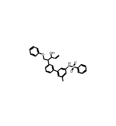 C=CC(O)C(COc1c[c]ccc1)c1cccc(-c2cc(C)cc(NS(=O)(=O)c3ccccc3)c2)c1